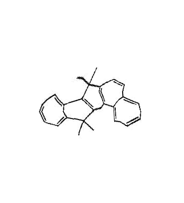 CC1(C)C2=C(c3ccccc31)C(C)(C)c1ccc3ccccc3c12